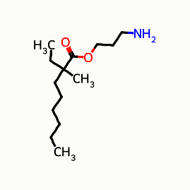 CCCCCCC(C)(CC)C(=O)OCCCN